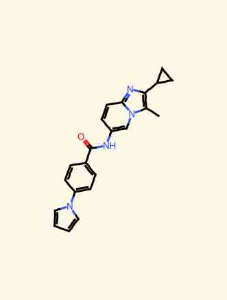 Cc1c(C2CC2)nc2ccc(NC(=O)c3ccc(-n4cccc4)cc3)cn12